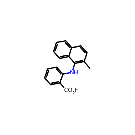 Cc1ccc2ccccc2c1Nc1ccccc1C(=O)O